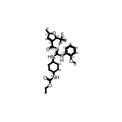 CCOC(=O)NC1CCC(N/C(=N\C(=O)C2=CC(C)OC2C(F)(F)F)Nc2ccccc2OC)CC1